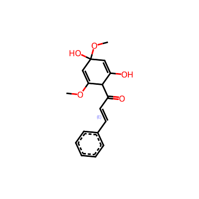 COC1=CC(O)(OC)C=C(O)C1C(=O)/C=C/c1ccccc1